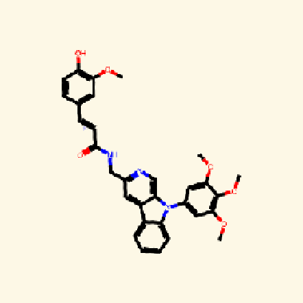 COc1cc(/C=C/C(=O)NCc2cc3c4ccccc4n(-c4cc(OC)c(OC)c(OC)c4)c3cn2)ccc1O